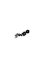 S=C=NCCCN1CCC(c2ccccc2)CC1